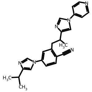 CC(C)c1cn(-c2ccc(C#N)c(CC(C)c3cn(-c4ccncc4)cn3)c2)cn1